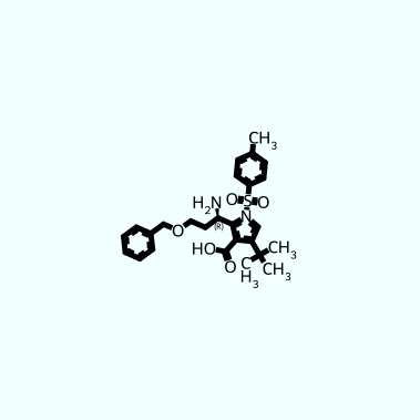 Cc1ccc(S(=O)(=O)n2cc(C(C)(C)C)c(C(=O)O)c2[C@H](N)CCOCc2ccccc2)cc1